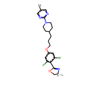 CCc1cnc(N2CCC(CCCOc3cc(F)c(C4=N[C@H](C)CO4)c(F)c3)CC2)nc1